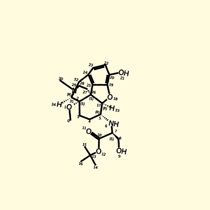 CO[C@@]12CC[C@@H](N[C@@H](CO)C(=O)OC(C)(C)C)[C@@H]3Oc4c(O)ccc5c4[C@@]31CCN(C)[C@@H]2C5